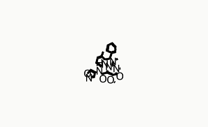 COc1c(C(=O)Nc2cnoc2)nc(N(C)C(c2ccccc2)c2ncccc2C)n(C)c1=O